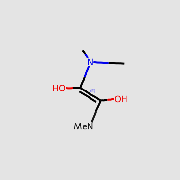 CN/C(O)=C(\O)N(C)C